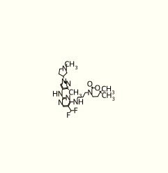 Cc1nn(C2CCN(C)C2)cc1Nc1ncc(C(F)F)c(NCCCN2CCC(C)(C)OC2=O)n1